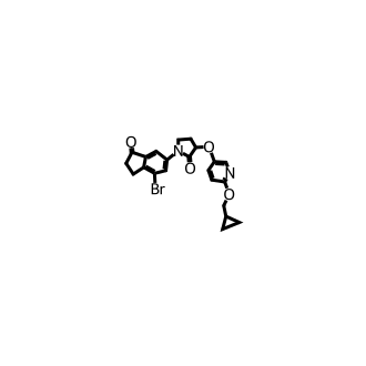 O=C1CCc2c(Br)cc(N3CCC(Oc4ccc(OCC5CC5)nc4)C3=O)cc21